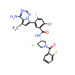 Nc1ncnn2c(-c3cc(C(=O)N[C@@H]4CN(C(=O)c5ccccc5F)C[C@@H]4F)c(Cl)cc3F)cc(C(F)(F)F)c12